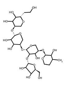 CC1CCO[C@@H](O[C@@H]2CO[C@@H](O[C@@H]3CO[C@@H](O[C@@H]4CO[C@@H](CCO)C(O)C4O)C(O)C3O)C(O[C@@H]3O[C@@H](CO)C(O)C3O)C2O)C1O